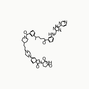 CC(CCCC(=O)c1cccc(NCc2nnc(-c3ccncn3)n2C)c1)c1cccc(C(=O)N2CCC(CCCN3CCN(c4ccc5c(c4)CN(C4CCC(=O)NC4=O)C5=O)CC3)CC2)c1